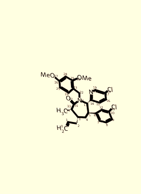 C=CC[C@H]1C[C@H](c2cccc(Cl)c2)[C@@H](c2ccc(Cl)cn2)N(Cc2ccc(OC)cc2OC)C(=O)[C@H]1C